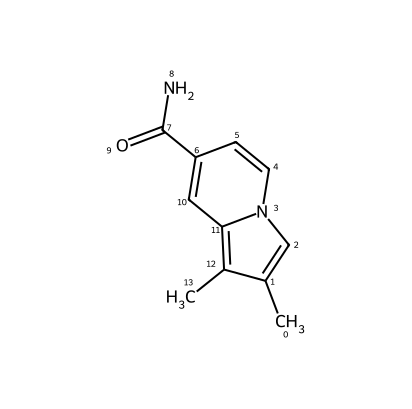 Cc1cn2ccc(C(N)=O)cc2c1C